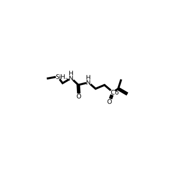 C=[C](C)[Co](=[O])[CH2]CNC(=O)NC[SiH2]C